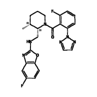 C[C@@H]1CCCN(C(=O)c2c(F)cccc2-n2nccn2)[C@@H]1CNc1nc2cc(F)ccc2o1